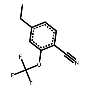 CCc1ccc(C#N)c(OC(F)(F)F)c1